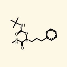 CNC(=O)[C@H](CCCc1ccccc1)OC(=O)NC(C)(C)C